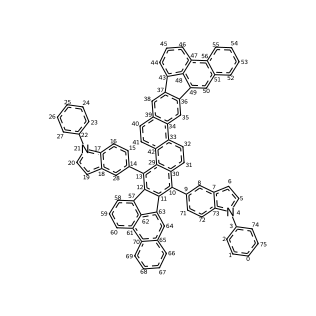 c1ccc(-n2ccc3cc(-c4c5c(c(-c6ccc7c(ccn7-c7ccccc7)c6)c6c4ccc4c7cc8c(cc7ccc46)-c4cccc6c4c-8cc4ccccc46)-c4cccc6c4c-5cc4ccccc46)ccc32)cc1